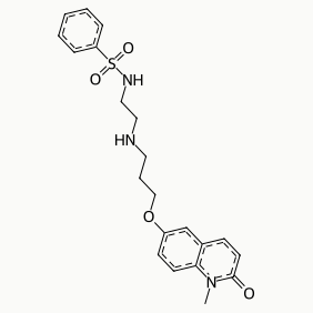 Cn1c(=O)ccc2cc(OCCCNCCNS(=O)(=O)c3ccccc3)ccc21